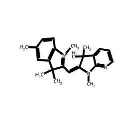 Cc1ccc2c(c1)C(C)(C)C(C=C1N(C)c3ncccc3C1(C)C)=[N+]2C